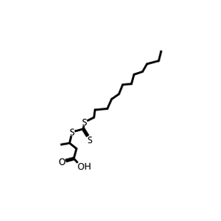 CCCCCCCCCCCCSC(=S)SC(C)CC(=O)O